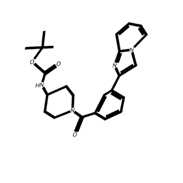 CC(C)(C)OC(=O)NC1CCN(C(=O)c2cccc(-c3cn4ccccc4n3)c2)CC1